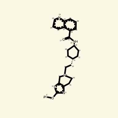 CC(C)Oc1nc2c(s1)CN(CC[C@H]1CC[C@H](NC(=O)c3cccc4ncccc34)CC1)CC2